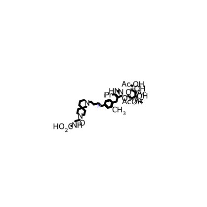 CC(=O)C(O)[C@H]1O[C@@H](Oc2n[nH]c(C(C)C)c2Cc2ccc(/C=C/CCN3CCCC4(CCN(C(=O)CNC(=O)O)CC4)C3)cc2C)[C@@](O)(C(C)=O)[C@](O)(C(C)=O)[C@@]1(O)C(C)=O